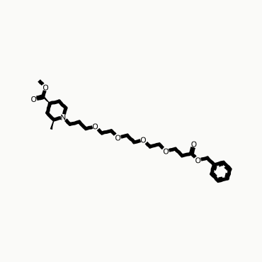 COC(=O)[C@H]1CCN(CCCOCCOCCOCCOCCC(=O)OCc2ccccc2)[C@@H](C)C1